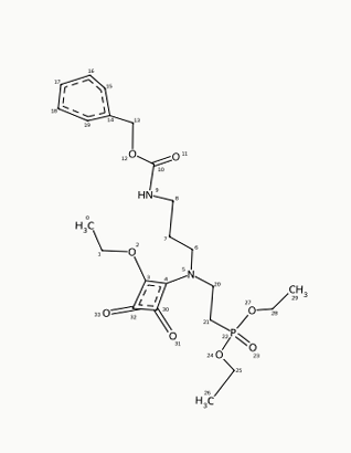 CCOc1c(N(CCCNC(=O)OCc2ccccc2)CCP(=O)(OCC)OCC)c(=O)c1=O